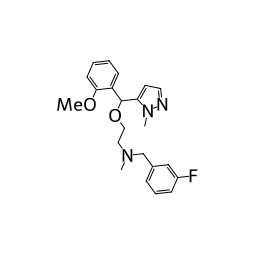 COc1ccccc1C(OCCN(C)Cc1cccc(F)c1)c1ccnn1C